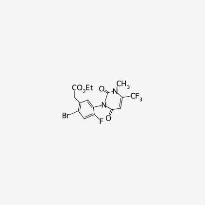 CCOC(=O)Cc1cc(-n2c(=O)cc(C(F)(F)F)n(C)c2=O)c(F)cc1Br